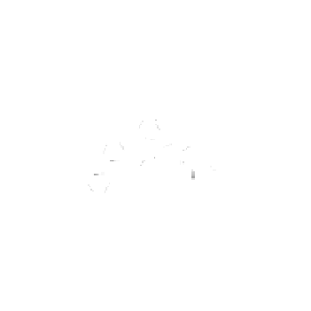 CN1CCC=C(NC(=O)c2sc3nccc4c3c2NC(=O)N4c2cccc(-c3ccccc3)c2)C1